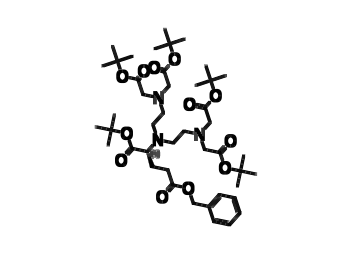 CC(C)(C)OC(=O)CN(CCN(CCN(CC(=O)OC(C)(C)C)CC(=O)OC(C)(C)C)[C@@H](CCC(=O)OCc1ccccc1)C(=O)OC(C)(C)C)CC(=O)OC(C)(C)C